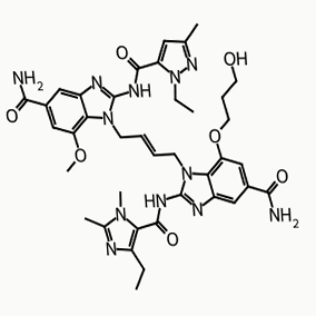 CCc1nc(C)n(C)c1C(=O)Nc1nc2cc(C(N)=O)cc(OCCCO)c2n1C/C=C/Cn1c(NC(=O)c2cc(C)nn2CC)nc2cc(C(N)=O)cc(OC)c21